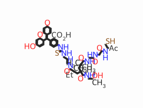 CCC(C)(CC(C)(CC(C)(C)C(=O)NCC(=O)NCC(=O)NC(CS)C(C)=O)C(=O)NCC(C)O)C(=O)NCCCNC(=S)Nc1ccc(C2=C3C=CC(=O)C=C3OC3C=C(O)C=CC23)c(C(=O)O)c1